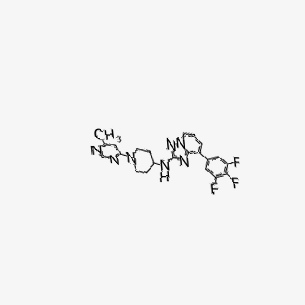 Cc1cc(N2CCC(Nc3nc4c(-c5cc(F)c(F)c(F)c5)cccn4n3)CC2)ncn1